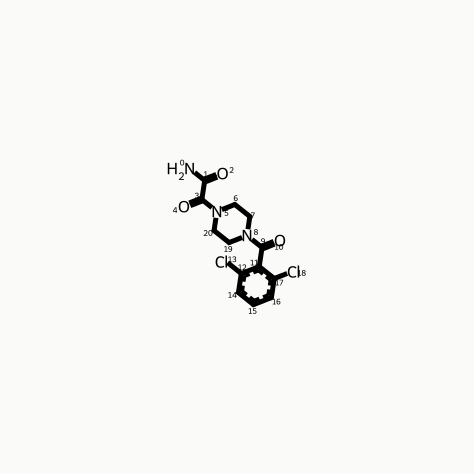 NC(=O)C(=O)N1CCN(C(=O)c2c(Cl)cccc2Cl)CC1